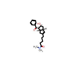 CN(C)C(=O)CCCCC1=C[C@H]2C[C@@H](O)[C@H](C(=O)c3ccccc3)[C@H]2C1